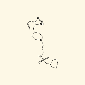 O=S(=O)(CC1CCCCC1)NCCCN1CCN(c2cccc3nn[nH]c23)CC1